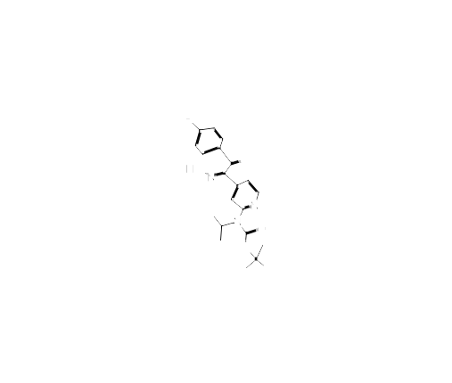 CC(C)N(C(=O)OC(C)(C)C)c1cc(C(=NO)C(=O)c2ccc(F)cc2)ccn1